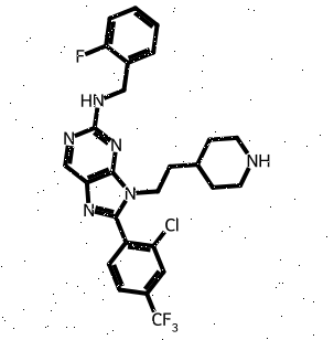 Fc1ccccc1CNc1ncc2nc(-c3ccc(C(F)(F)F)cc3Cl)n(CCC3CCNCC3)c2n1